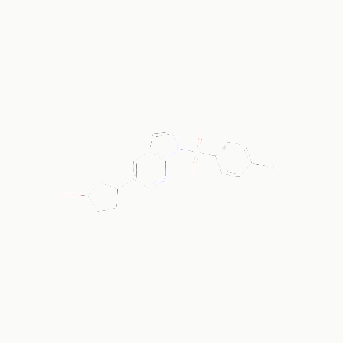 Cc1ccc(S(=O)(=O)n2ccc3cc(C4CCC(O)C4)cnc32)cc1